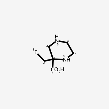 O=C(O)C1(CF)CNCCN1